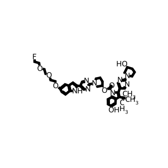 CC(C)(C)c1c(-c2cnc(N3CCC[C@@H](O)C3)nc2)n(C(=O)O[C@@H]2CCCN(c3ncc(-c4cc5cc(OCCOCCOCCF)ccc5[nH]4)cn3)C2)c2ccc(O)cc12